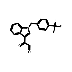 O=CC(=O)c1cn(Cc2ccc(C(F)(F)F)cc2)c2ccccc12